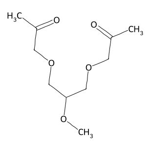 COC(COCC(C)=O)COCC(C)=O